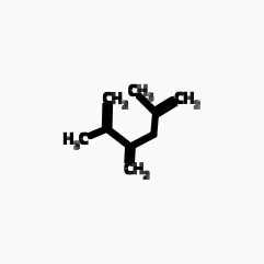 C=C(C)CC(=C)C(=C)C